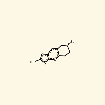 CC(C)(C)[C@H]1CCc2nc3sc(C#N)cc3cc2C1